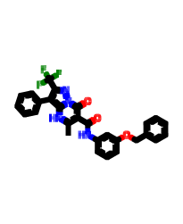 Cc1[nH]c2c(-c3ccccc3)c(C(F)(F)F)nn2c(=O)c1C(=O)Nc1cccc(OCc2ccccc2)c1